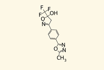 Cc1nnc(-c2ccc(C3=NOC(O)(C(F)(F)F)C3)cc2)o1